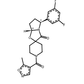 Cc1oncc1C(=O)N1CCC2(CC1)O[C@@H]1CC[C@@H](c3cc(F)cc(F)c3)N1C2=O